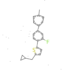 Cc1ccc(-c2ccc(-c3ccc(CC4CC4)s3)c(F)c2)cc1